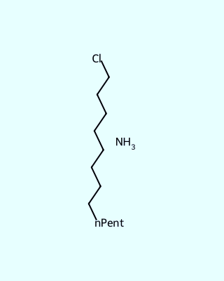 CCCCCCCCCCCCCCl.N